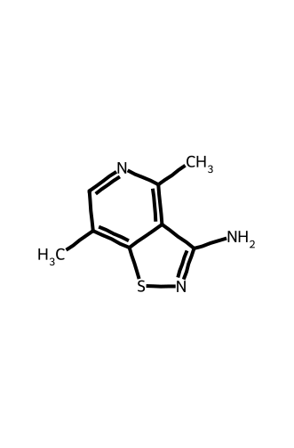 Cc1cnc(C)c2c(N)nsc12